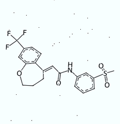 CS(=O)(=O)c1cccc(NC(=O)/C=C2\CCCOc3cc(C(F)(F)F)ccc32)c1